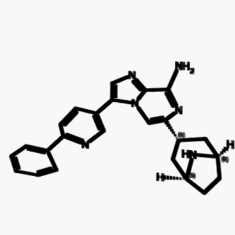 Nc1nc([C@@H]2C[C@H]3CC[C@@H](C2)N3)cn2c(-c3ccc(-c4ccccc4)nc3)cnc12